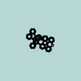 c1ccc(-c2cc(-c3cccc4c3-c3c(-c5ccc(-c6ccccc6)c6cccnc56)cccc3C43c4ccccc4Oc4ccccc43)nc(-c3ccccc3)n2)cc1